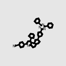 N#Cc1ccc(-c2cc(-c3ccccc3)c3c(ccc4ccc(-c5ccc(-c6nc(-c7ccccc7)nc(-c7ccccc7)n6)cc5)cc43)n2)cc1